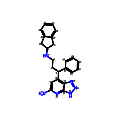 Nc1cc(C(CCNC2Cc3ccccc3C2)c2ccccc2)c2nn[nH]c2n1